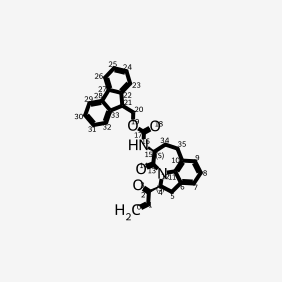 C=CC(=O)[C@@H]1Cc2cccc3c2N1C(=O)[C@@H](NC(=O)OCC1c2ccccc2-c2ccccc21)CC3